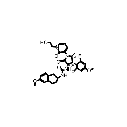 COc1cc(F)c([C@H]2[C@H](NC(=O)NC3CCc4cc(OC)ccc4C3)C(=O)N(c3cccn(CCO)c3=O)[C@H]2C)c(F)c1